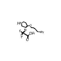 CC(C)CCCOC1CCNCC1.O=C(O)C(F)(F)F